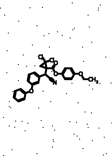 CCOc1ccc(OC(=O)C2(C(C#N)c3cccc(Oc4ccccc4)c3)CC2(Cl)Cl)cc1